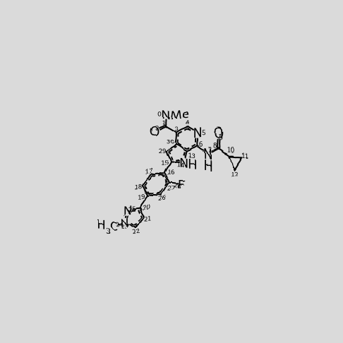 CNC(=O)c1cnc(NC(=O)C2CC2)c2[nH]c(-c3ccc(-c4ccn(C)n4)cc3F)cc12